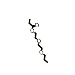 CCCOCCOCCOC(=O)CC